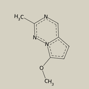 COc1ccc2cnc(C)nn12